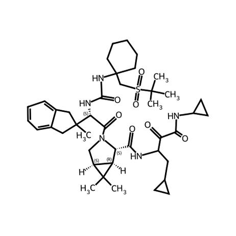 CC1([C@H](NC(=O)NC2(CS(=O)(=O)C(C)(C)C)CCCCC2)C(=O)N2C[C@H]3[C@@H]([C@H]2C(=O)NC(CC2CC2)C(=O)C(=O)NC2CC2)C3(C)C)Cc2ccccc2C1